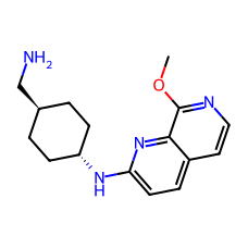 COc1nccc2ccc(N[C@H]3CC[C@H](CN)CC3)nc12